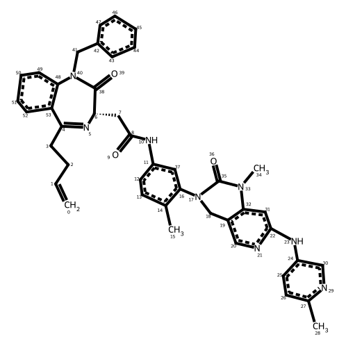 C=CCCC1=N[C@@H](CC(=O)Nc2ccc(C)c(N3Cc4cnc(Nc5ccc(C)nc5)cc4N(C)C3=O)c2)C(=O)N(Cc2ccccc2)c2ccccc21